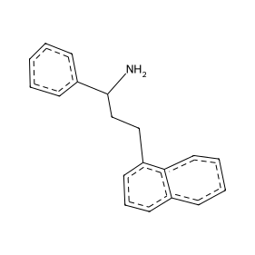 NC(CCc1cccc2ccccc12)c1ccccc1